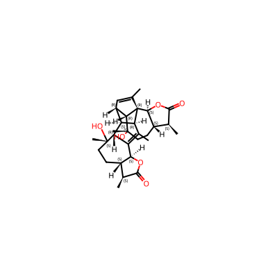 CC1=C[C@H]2[C@H]3[C@H](C(C)=C4[C@H]5OC(=O)[C@@H](C)[C@@H]5CC[C@](C)(O)[C@@H]43)[C@@]13[C@@H]2[C@@](C)(O)CC[C@H]1[C@H](C)C(=O)O[C@@H]13